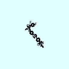 CCC[C@@]1(COc2ccc(N3CCN(c4ccc(-n5cnn([C@H](C)CC)c5=O)cc4)CC3)cc2)CO[C@@](C)(c2ccc(F)cc2F)C1